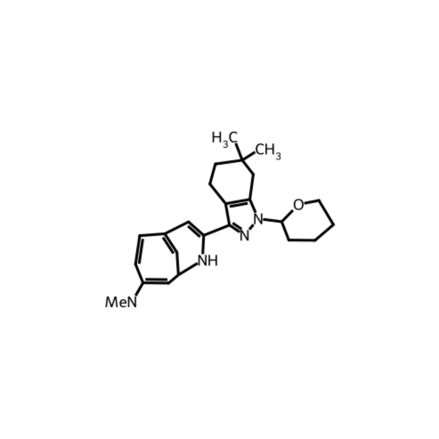 CNC1=CC2C=C(C=C1)C=C(c1nn(C3CCCCO3)c3c1CCC(C)(C)C3)N2